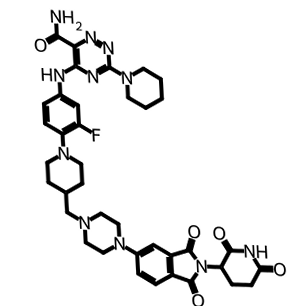 NC(=O)c1nnc(N2CCCCC2)nc1Nc1ccc(N2CCC(CN3CCN(c4ccc5c(c4)C(=O)N(C4CCC(=O)NC4=O)C5=O)CC3)CC2)c(F)c1